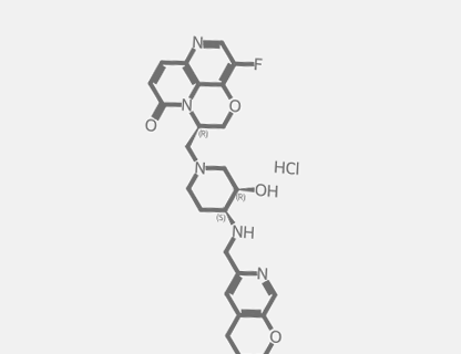 Cl.O=c1ccc2ncc(F)c3c2n1[C@H](CN1CC[C@H](NCc2cc4c(cn2)OCCC4)[C@H](O)C1)CO3